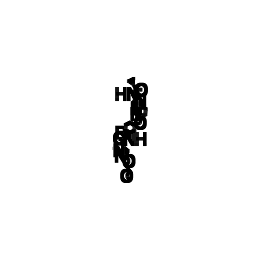 COCCOc1cc(C(=O)Nc2cc(Oc3ccc4nc(NC(=O)C5CC5)cn4n3)ccc2F)n(C)n1